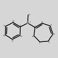 CN(C1=CC=CCCC1)c1ccccc1